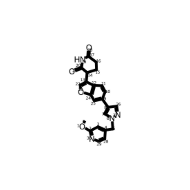 COc1cc(Cn2cc(-c3ccc4c(C5CCC(=O)NC5=O)coc4c3)cn2)ccn1